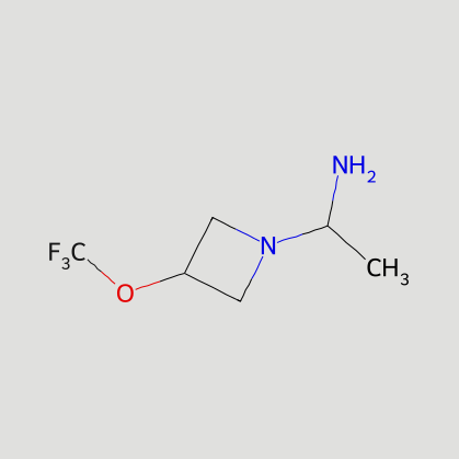 CC(N)N1CC(OC(F)(F)F)C1